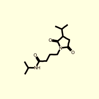 CC(C)NC(=O)CCCN1C(=O)CC(C(C)C)C1=O